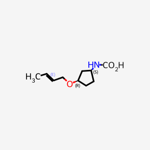 C/C=C/CO[C@@H]1CC[C@H](NC(=O)O)C1